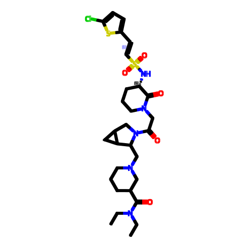 CCN(CC)C(=O)C1CCCN(CC2C3CC3CN2C(=O)CN2CCC[C@H](NS(=O)(=O)/C=C/c3ccc(Cl)s3)C2=O)C1